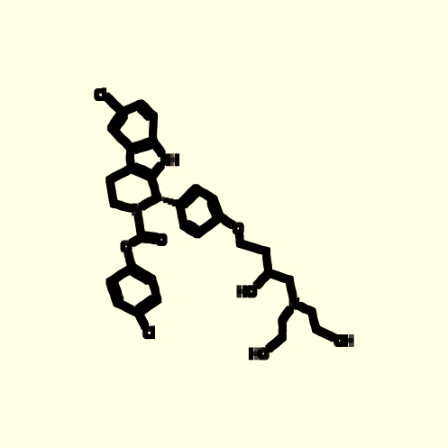 O=C(Oc1ccc(Cl)cc1)N1CCc2c([nH]c3ccc(Cl)cc23)[C@@H]1c1ccc(OCCC(O)CN(CCO)CCO)cc1